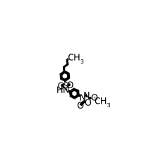 CCCCc1ccc(S(=O)(=O)Nc2ccc(-n3nc(OC)oc3=O)cc2)cc1